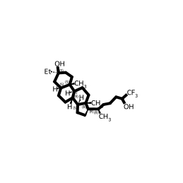 CC[C@]1(O)CC[C@@]2(C)[C@@H](CC[C@@H]3[C@@H]2CC[C@]2(C)[C@@H]([C@H](C)CCCC(O)C(F)(F)F)CC[C@@H]32)C1